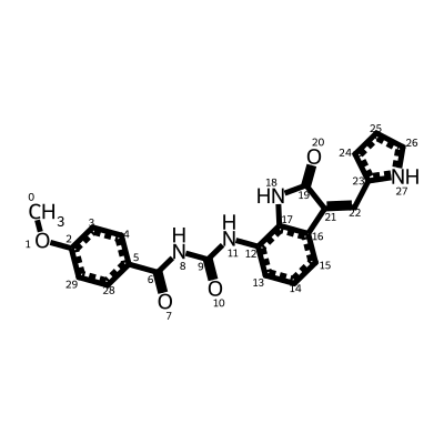 COc1ccc(C(=O)NC(=O)Nc2cccc3c2NC(=O)C3=Cc2ccc[nH]2)cc1